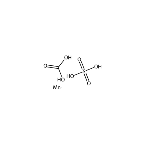 O=C(O)O.O=S(=O)(O)O.[Mn]